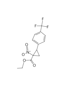 CCOC(=O)C1([N+](=O)[O-])CC1c1ccc(C(F)(F)F)cc1